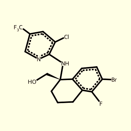 OC[C@]1(Nc2ncc(C(F)(F)F)cc2Cl)CCCc2c1ccc(Br)c2F